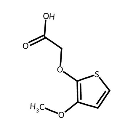 COc1ccsc1OCC(=O)O